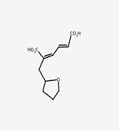 O=C(O)C=CC=C(CC1CCCO1)C(=O)O